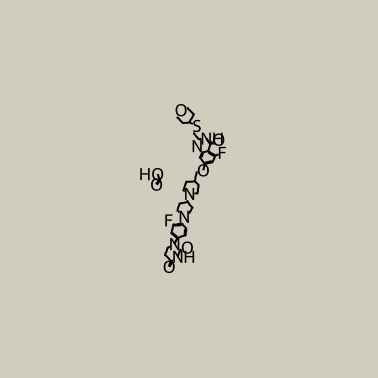 O=C1CCN(c2ccc(N3CCC(N4CCC(COc5cc(F)c6c(=O)[nH]c(CSC7CCOCC7)nc6c5)CC4)CC3)c(F)c2)C(=O)N1.O=CO